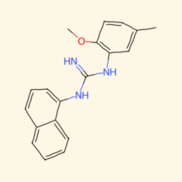 COc1ccc(C)cc1NC(=N)Nc1cccc2ccccc12